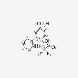 O=C(O)C(F)(F)F.O=C(O)c1cccc(C2COCCN2)c1